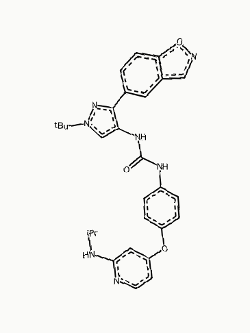 CC(C)Nc1cc(Oc2ccc(NC(=O)Nc3cn(C(C)(C)C)nc3-c3ccc4oncc4c3)cc2)ccn1